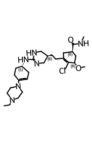 CCN1CCN(C2=CC[C@@H](NC3=NC[C@H](CCC4=C(Cl)[C@H](OC)C[C@H](C(=O)NC)C4)CN3)CC2)CC1